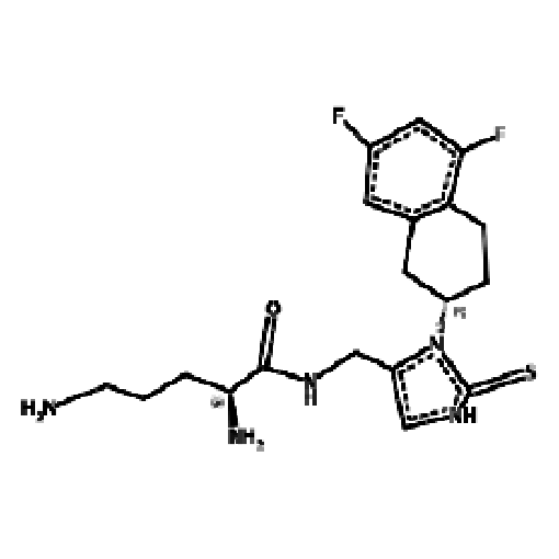 NCCC[C@H](N)C(=O)NCc1c[nH]c(=S)n1[C@H]1CCc2c(F)cc(F)cc2C1